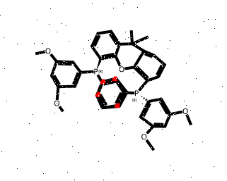 COc1cc(OC)cc([P@](c2ccccc2)c2cccc3c2Oc2c([P@@](c4ccccc4)c4cc(OC)cc(OC)c4)cccc2C3(C)C)c1